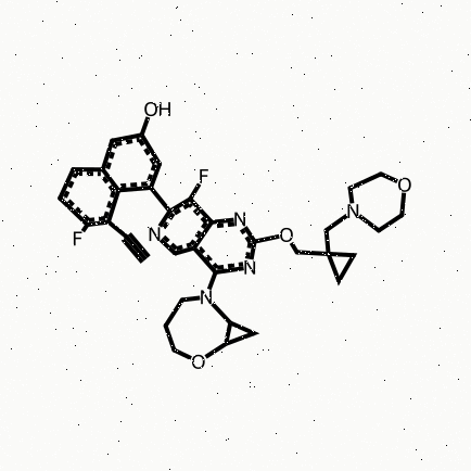 C#Cc1c(F)ccc2cc(O)cc(-c3ncc4c(N5CCCOC6CC65)nc(OCC5(CN6CCOCC6)CC5)nc4c3F)c12